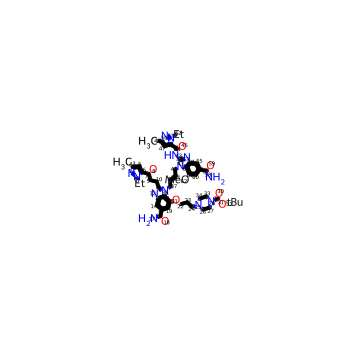 CCn1nc(C)cc1C(=O)CCc1nc2cc(C(N)=O)cc(OCCCN3CCN(C(=O)OC(C)(C)C)CC3)c2n1C/C=C/Cn1c(NC(=O)c2cc(C)nn2CC)nc2cc(C(N)=O)cc(OC)c21